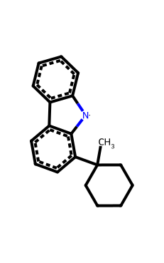 CC1(c2cccc3c2[N]c2ccccc2-3)CCCCC1